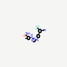 CNC(=O)c1cc(Nc2nccc(N(C)c3ccc(-c4cc(C#N)cc(C(F)(F)F)c4)cc3)n2)ccc1C